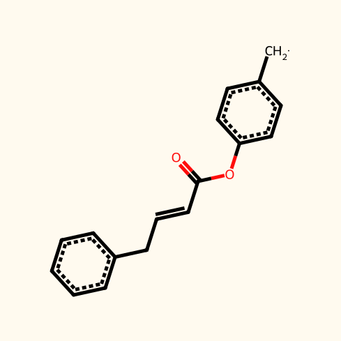 [CH2]c1ccc(OC(=O)C=CCc2ccccc2)cc1